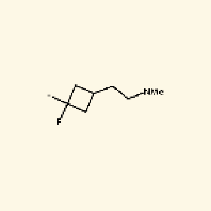 CNCCC1CC(F)(F)C1